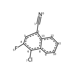 N#Cc1cc(F)c(Cl)c2ccccc12